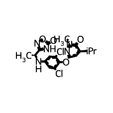 CC(C)c1cc(Oc2c(Cl)cc(N[C@@H](C)c3noc(=O)[nH]3)cc2Cl)nn(C)c1=O